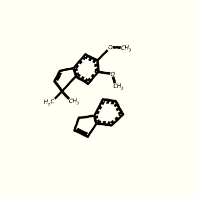 C1=Cc2ccccc2C1.COc1cc2c(cc1OC)C(C)(C)C=C2